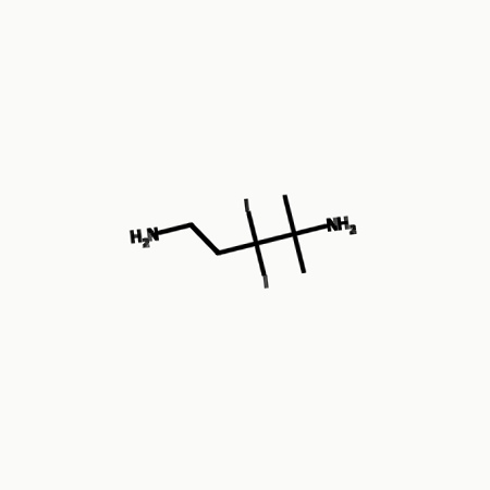 CC(C)(N)C(I)(I)CCN